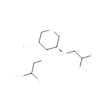 CCCCC(CC)CO[C@@H]1[C@H](O)COC[C@H]1OCC(CC)CCCC